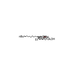 CC(=O)O.CC(=O)O.CCC=CCCCCCCCCO.CCCCC=CCCCCCCCCC=CCCO